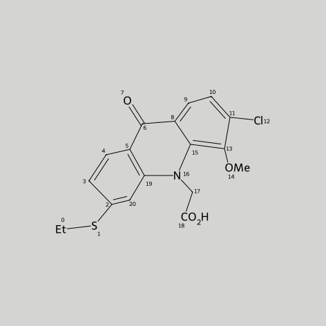 CCSc1ccc2c(=O)c3ccc(Cl)c(OC)c3n(CC(=O)O)c2c1